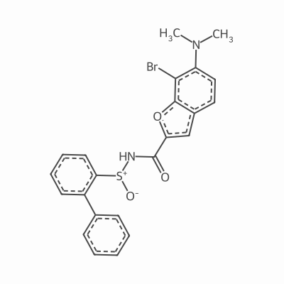 CN(C)c1ccc2cc(C(=O)N[S+]([O-])c3ccccc3-c3ccccc3)oc2c1Br